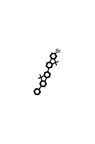 CC1(C)c2cc(Br)ccc2-c2ccc(-c3ccc4c(c3)C(C)(C)c3cc(-c5ccccc5)ccc3-4)cc21